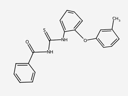 Cc1cccc(Oc2ccccc2NC(=S)NC(=O)c2ccccc2)c1